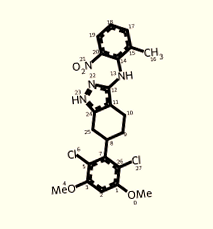 COc1cc(OC)c(Cl)c(C2CCc3c(Nc4c(C)cccc4[N+](=O)[O-])n[nH]c3C2)c1Cl